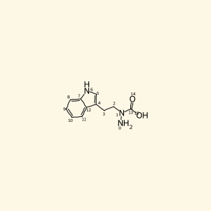 NN(CCc1c[nH]c2ccccc12)C(=O)O